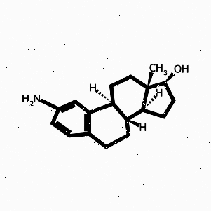 C[C@]12CC[C@@H]3c4cc(N)ccc4CC[C@H]3[C@@H]1CC[C@@H]2O